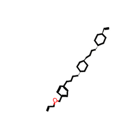 C=CCOCc1ccc(CCCC[C@H]2CC[C@H](CCCC[C@H]3CC[C@H](C=C)CC3)CC2)cc1